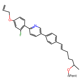 C=CCOc1ccc(-c2ccc(-c3ccc(C=CCCCC(C)OCCCCC)cc3)cn2)c(F)c1